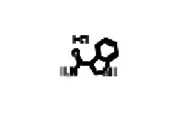 Cl.NC(=O)C1CNc2cc[c]cc21